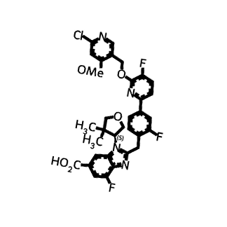 COc1cc(Cl)ncc1COc1nc(-c2ccc(Cc3nc4c(F)cc(C(=O)O)cc4n3[C@@H]3COCC3(C)C)c(F)c2)ccc1F